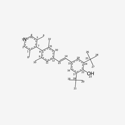 Cc1cncc(C)c1-c1c(C)cc(/C=C/c2cc(C(C)(C)C)c(O)c(C(C)(C)C)c2)cc1C